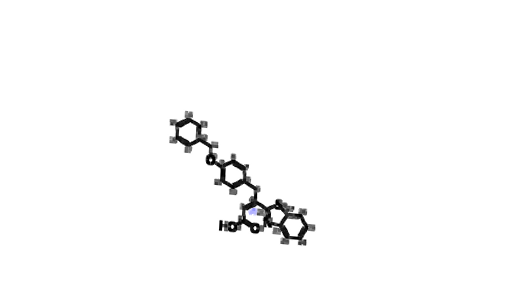 O=C(O)/C=C(/Cc1ccc(OCc2ccccc2)cc1)c1nc2ccccc2s1